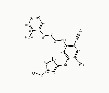 [C-]#[N+]c1cc(C)c(Nc2cc(CC)n[nH]2)nc1NCCOc1cccnc1C